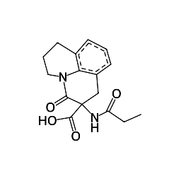 CCC(=O)NC1(C(=O)O)Cc2cccc3c2N(CCC3)C1=O